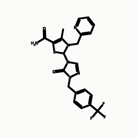 CC1=C(C(N)=O)SC(n2cnn(Cc3ccc(C(F)(F)F)cc3)c2=O)N1Cc1ccccn1